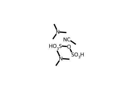 CC#N.CN(C)C.CN(C)C.O=S(=O)(O)OS(=O)(=O)O